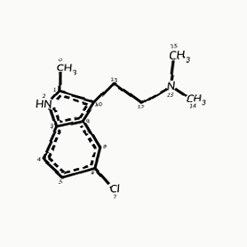 Cc1[nH]c2ccc(Cl)cc2c1CCN(C)C